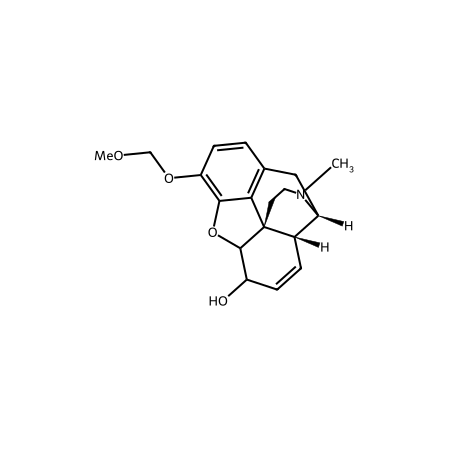 COCOc1ccc2c3c1OC1C(O)C=C[C@H]4[C@@H](C2)N(C)CC[C@]314